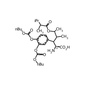 CCCCOC(=O)Oc1ccc(C(C(C)C(C)OC(=O)C(C)C(C)C)[C@H](N)C(=O)O)cc1OC(=O)OCCCC